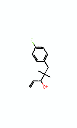 [CH]=CC(O)C(C)(C)Cc1ccc(F)cc1